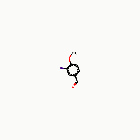 COc1ccc(C=O)cc1I